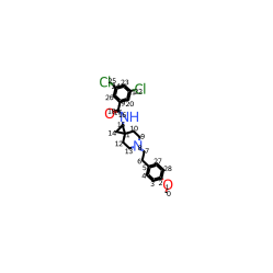 COc1ccc(CCN2CCC3(CC2)CC3NC(=O)c2cc(Cl)cc(Cl)c2)cc1